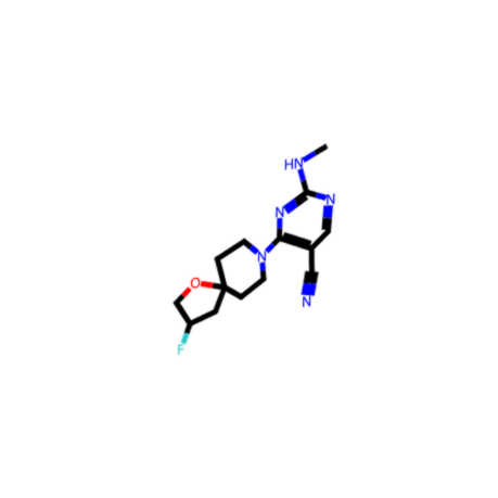 CNc1ncc(C#N)c(N2CCC3(CC2)CC(F)CO3)n1